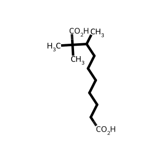 CC(CCCCCCC(=O)O)C(C)(C)C(=O)O